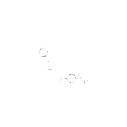 COc1ccc(N2CCN(CCC(=O)c3ccc4c(c3)CCN4C(C)=O)CC2)cc1